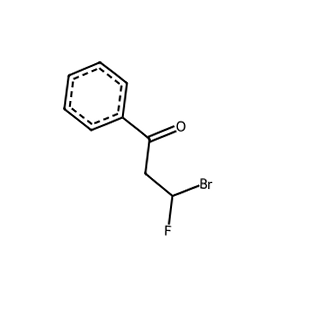 O=C(CC(F)Br)c1ccccc1